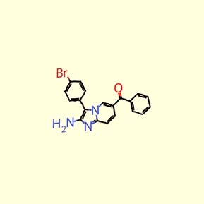 Nc1nc2ccc(C(=O)c3ccccc3)cn2c1-c1ccc(Br)cc1